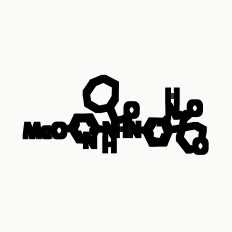 COc1ccc(NC(C(=O)Nc2ccc3c(c2)NC(=O)C32CCOCC2)C2CCCCCCC2)nc1